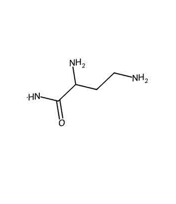 [NH]C(=O)C(N)CCN